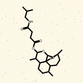 CC(C)CNC(=O)CCC(=O)OC1OC2OC3(C)CCC4C(C)CCC(C1C)C24OO3